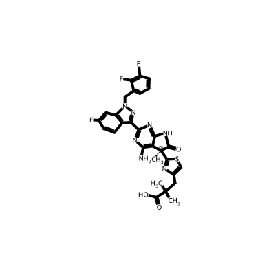 CC(C)(Cc1csc([C@]2(C)C(=O)Nc3nc(-c4nn(Cc5cccc(F)c5F)c5cc(F)ccc45)nc(N)c32)n1)C(=O)O